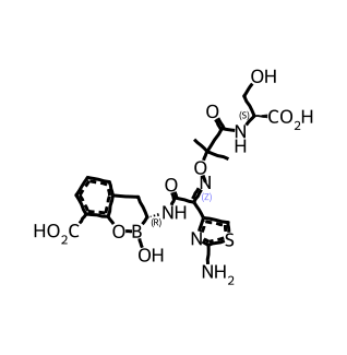 CC(C)(O/N=C(\C(=O)N[C@H]1Cc2cccc(C(=O)O)c2OB1O)c1csc(N)n1)C(=O)N[C@@H](CO)C(=O)O